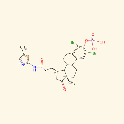 Cc1cnc(NC(=O)CC[C@@H]2CC(=O)[C@@]3(C)CCC4c5cc(Br)c(OP(=O)(O)O)c(Br)c5CCC4C23)s1